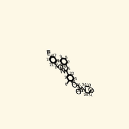 Cc1cc(C(Cc2ccccc2)=NOCc2ccc(F)cc2)ccc1OCC(=O)N1CCOCC1